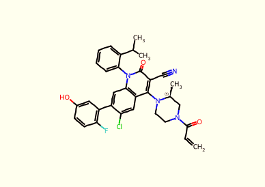 C=CC(=O)N1CCN(c2c(C#N)c(=O)n(-c3ccccc3C(C)C)c3cc(-c4cc(O)ccc4F)c(Cl)cc23)[C@@H](C)C1